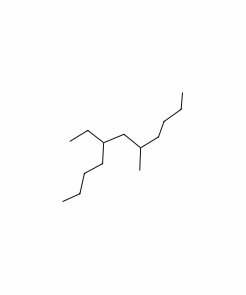 CCCCC(C)CC(CC)CCCC